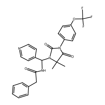 CC1(C)C(=O)N(c2ccc(OC(F)(F)F)cc2)C(=O)N1C(NC(=O)Cc1ccccc1)c1ccncc1